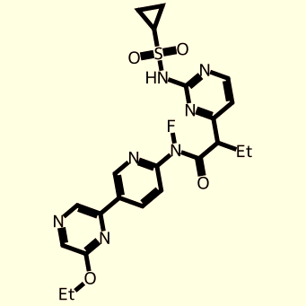 CCOc1cncc(-c2ccc(N(F)C(=O)C(CC)c3ccnc(NS(=O)(=O)C4CC4)n3)nc2)n1